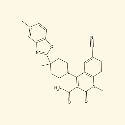 Cc1ccc2oc(C3(C)CCN(c4c(C(N)=O)c(=O)n(C)c5ccc(C#N)cc45)CC3)nc2c1